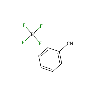 F[B-](F)(F)F.N#Cc1ccccc1